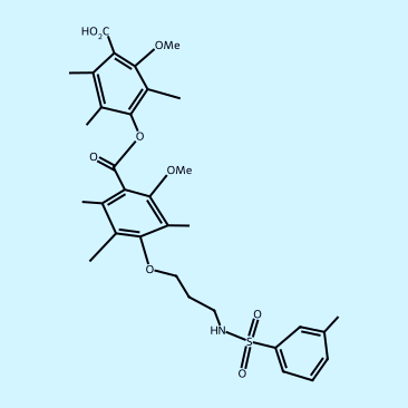 COc1c(C)c(OC(=O)c2c(C)c(C)c(OCCCNS(=O)(=O)c3cccc(C)c3)c(C)c2OC)c(C)c(C)c1C(=O)O